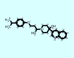 CC(C)c1ccc(OCCC(O)N2CCC(O)(c3cnc4ccccc4c3)CC2)cc1